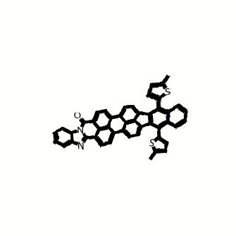 Cc1ccc(-c2c3c(c(-c4ccc(C)s4)c4ccccc24)-c2ccc4c5ccc6c7c(ccc(c8ccc-3c2c84)c57)c(=O)n2c3ccccc3nc62)s1